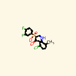 Cc1ccc(Cl)c2c(=O)c(S(=O)(=O)c3ccc(F)c(F)c3)c[nH]c12